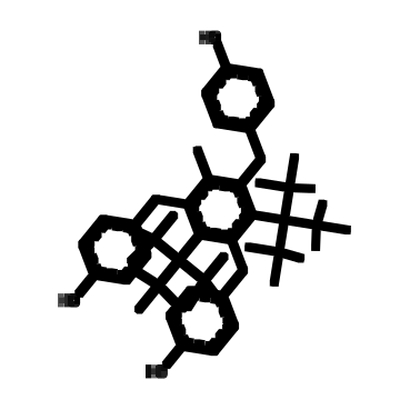 Cc1c(Cc2ccc(O)cc2)c(C(C(C)(C)C)(C(C)(C)C)C(C)(C)C)c(Cc2ccc(O)cc2)c(C(C(C)(C)C)(C(C)(C)C)C(C)(C)C)c1Cc1ccc(O)cc1